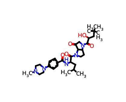 CC(C)CC(NC(=O)c1ccc(N2CCN(C)CC2)cc1)C(=O)N1CCC2C1C(=O)CN2C(=O)C(O)CC(C)(C)C